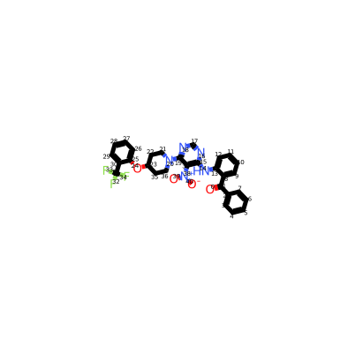 O=C(c1ccccc1)c1ccccc1Nc1ncnc(N2CCC(Oc3ccccc3C(F)(F)F)CC2)c1[N+](=O)[O-]